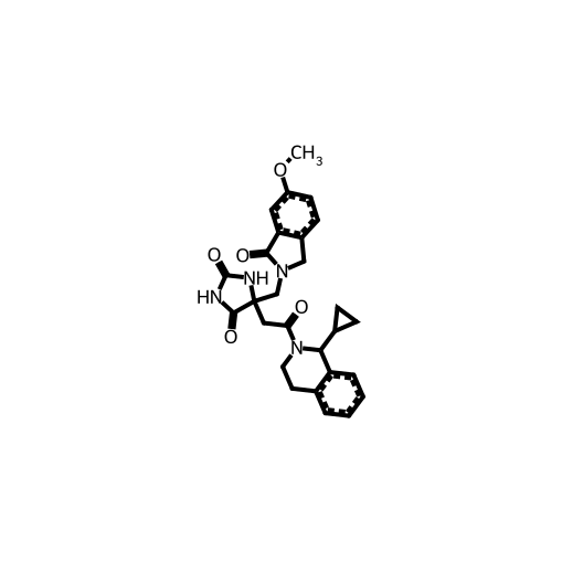 COc1ccc2c(c1)C(=O)N(CC1(CC(=O)N3CCc4ccccc4C3C3CC3)NC(=O)NC1=O)C2